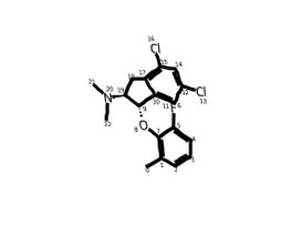 Cc1cccc(F)c1O[C@H]1c2cc(Cl)cc(Cl)c2C[C@@H]1N(C)C